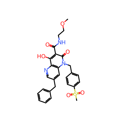 COCCNC(=O)c1c(O)c2ncc(Cc3ccccc3)cc2n(Cc2ccc(S(C)(=O)=O)cc2)c1=O